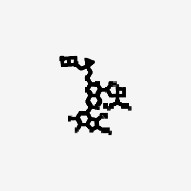 CN(CC1(N(C)C)CCC1)c1nc(OCC2(CN3CC4OCC43)CC2)nc2cc(C3=CC(F)=C(F)C4SC(N)=C(C#N)C34)ncc12